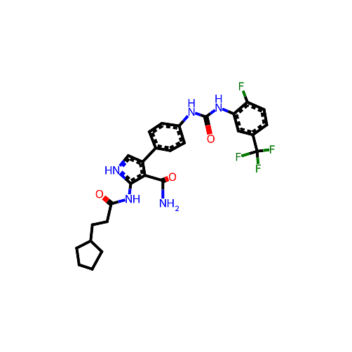 NC(=O)c1c(-c2ccc(NC(=O)Nc3cc(C(F)(F)F)ccc3F)cc2)c[nH]c1NC(=O)CCC1CCCC1